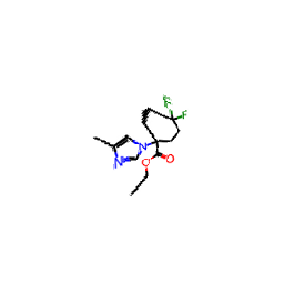 CCOC(=O)C1(n2cnc(C)c2)CCC(F)(F)CC1